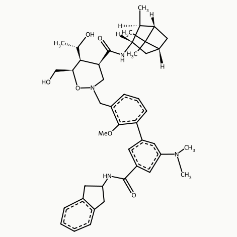 COc1c(CN2C[C@H](C(=O)N[C@H]3C[C@H]4C[C@@H]([C@@H]3C)C4(C)C)[C@H]([C@H](C)O)[C@H](CO)O2)cccc1-c1cc(C(=O)NC2Cc3ccccc3C2)cc(N(C)C)c1